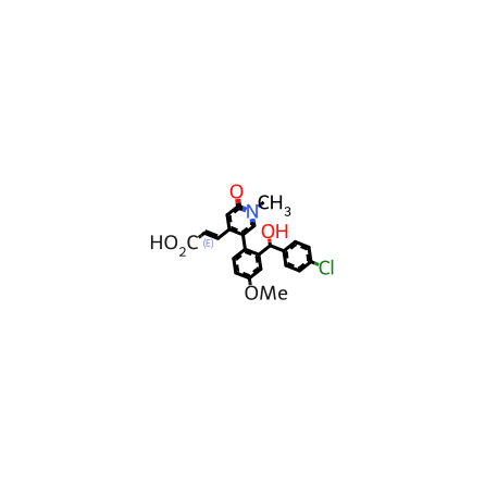 COc1ccc(-c2cn(C)c(=O)cc2/C=C/C(=O)O)c(C(O)c2ccc(Cl)cc2)c1